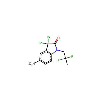 CC(F)(F)CN1C(=O)C(Br)(Br)c2cc([N+](=O)[O-])ccc21